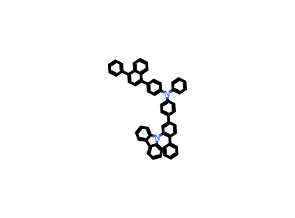 c1ccc(-c2ccc(-c3ccc(N(c4ccccc4)c4ccc(-c5ccc(-c6ccccc6)c6ccccc56)cc4)cc3)cc2-n2c3ccccc3c3ccccc32)cc1